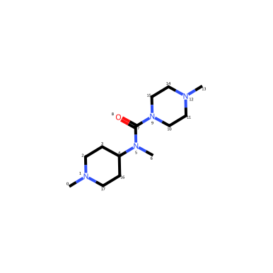 CN1CCC(N(C)C(=O)N2CCN(C)CC2)CC1